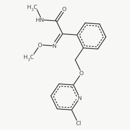 CNC(=O)/C(=N\OC)c1ccccc1COc1cccc(Cl)n1